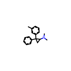 Cc1cccc(C2(c3ccccc3)CC2N(C)C)c1